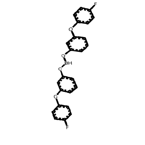 Fc1ccc(Oc2cccc(OBOc3cccc(Oc4ccc(F)cc4)c3)c2)cc1